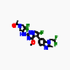 COc1nc(N[C@@H]2CN(C(C)=O)CC2(F)F)nn2cc(F)c(-c3ccc4nc(C)n(CC(F)F)c4c3)c12